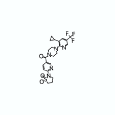 O=C(c1ccc(N2CCCS2(=O)=O)nc1)N1CCN(c2ncc(C(F)(F)F)cc2C2CC2)CC1